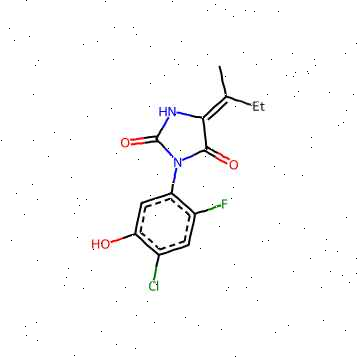 CCC(C)=C1NC(=O)N(c2cc(O)c(Cl)cc2F)C1=O